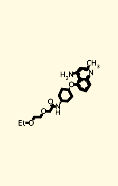 CCOCCOCC(=O)N[C@H]1CC[C@H](Oc2cccc3nc(C)cc(N)c23)CC1